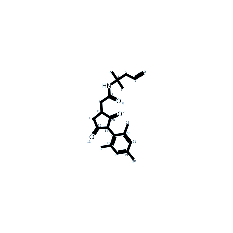 C=CCC(C)(C)NC(=O)CC1CC(=O)C(c2c(C)cc(C)cc2C)C1=O